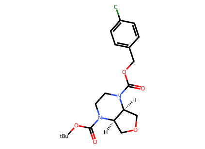 CC(C)(C)OC(=O)N1CCN(C(=O)OCc2ccc(Cl)cc2)[C@H]2COC[C@H]21